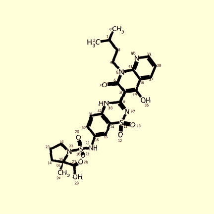 CC(C)CCn1c(=O)c(C2=NS(=O)(=O)c3cc(NS(=O)(=O)N4CCC[C@@]4(C)C(=O)O)ccc3N2)c(O)c2cccnc21